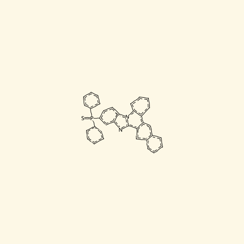 S=P(c1ccccc1)(c1ccccc1)c1ccc2c(c1)nc1c3cc4ccccc4cc3c3ccccc3n21